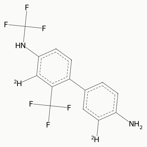 [2H]c1cc(-c2ccc(NC(F)(F)F)c([2H])c2C(F)(F)F)ccc1N